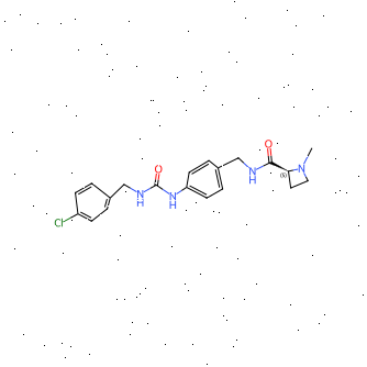 CN1CC[C@H]1C(=O)NCc1ccc(NC(=O)NCc2ccc(Cl)cc2)cc1